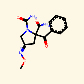 CO/N=C1/CN(C(N)=O)C(C(N)=O)(C(=O)c2ccccc2)C1